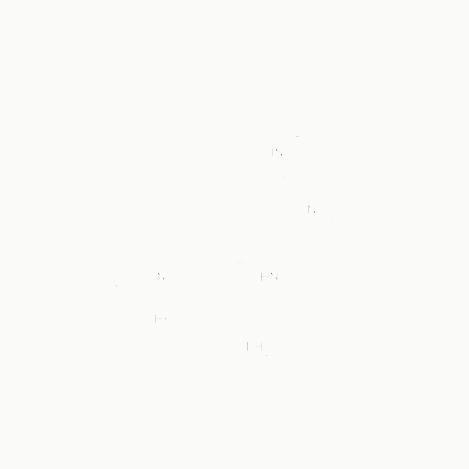 O=C1CCC(N2Cc3c(NCc4c(O)c(CN5CCOCC5)c(O)c(O)c4P)cccc3C2=O)C(=O)N1